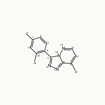 Cc1ccc(-c2nnc3c(C)ccnn23)c(C)c1